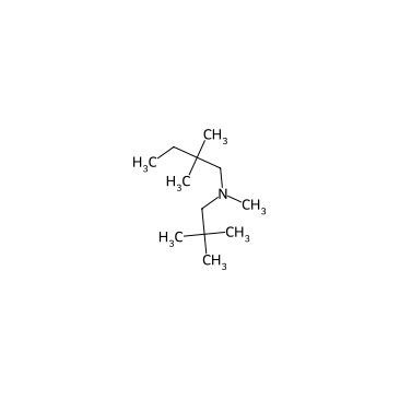 CCC(C)(C)CN(C)CC(C)(C)C